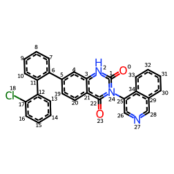 O=c1[nH]c2cc(-c3ccccc3-c3ccccc3Cl)ccc2c(=O)n1-c1cncc2ccccc12